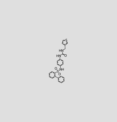 O=C(NCc1ccsc1)Nc1ccc(NS(=O)(=O)c2ccccc2-c2ccccc2)cc1